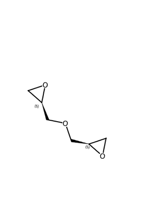 C(OC[C@H]1CO1)[C@H]1CO1